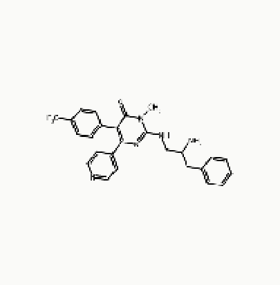 Cn1c(NCC(N)Cc2ccccc2)nc(-c2ccncc2)c(-c2ccc(C(F)(F)F)cc2)c1=O